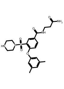 Cc1cc(C)cc(Oc2ccc(C(=O)NCCC(N)=O)cc2S(=O)(=O)N2CCNCC2)c1